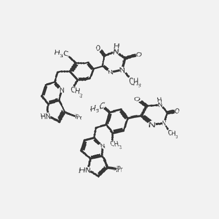 Cc1cc(-c2nn(C)c(=O)[nH]c2=O)cc(C)c1Cc1ccc2[nH]cc(C(C)C)c2n1.Cc1cc(-c2nn(C)c(=O)[nH]c2=O)cc(C)c1Cc1ccc2[nH]cc(C(C)C)c2n1